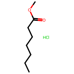 CCCCCCC(=O)OC.Cl